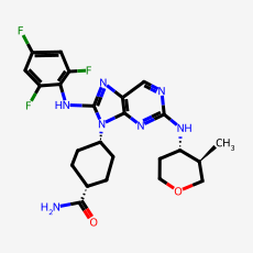 C[C@H]1COCC[C@@H]1Nc1ncc2nc(Nc3c(F)cc(F)cc3F)n([C@H]3CC[C@@H](C(N)=O)CC3)c2n1